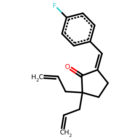 C=CCC1(CC=C)CCC(=Cc2ccc(F)cc2)C1=O